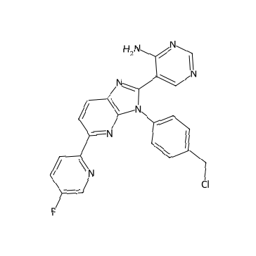 Nc1ncncc1-c1nc2ccc(-c3ccc(F)cn3)nc2n1-c1ccc(CCl)cc1